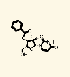 C[C@@]1(F)[C@H](OC(=O)c2ccccc2)[C@@H](CO)O[C@H]1n1ccc(=O)[nH]c1=O